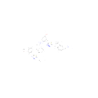 CC(=O)NC(Cc1ccc(C(C)(N)Cc2ccc(OC(F)(F)F)cc2-c2nnc(C(Cc3ccc(CN)cc3F)NC(C)=O)s2)cc1)c1nnc(-c2cccc(OC(F)(F)F)c2)s1